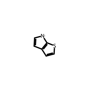 C1=Cc2ccsc2[N]1